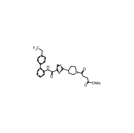 COC(=O)CCC(=O)N1CCC(c2nc(C(=O)Nc3ccccc3-c3ccc(CC(F)(F)F)cc3)cs2)CC1